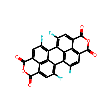 O=C1OC(=O)c2cc(F)c3c4c(F)cc5c6c(cc(F)c(c7c(F)cc1c2c73)c64)C(=O)OC5=O